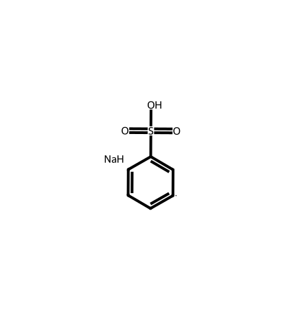 O=S(=O)(O)c1c[c]ccc1.[NaH]